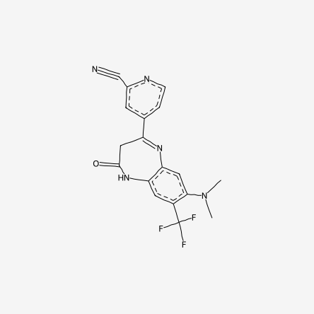 CN(C)c1cc2c(cc1C(F)(F)F)NC(=O)CC(c1ccnc(C#N)c1)=N2